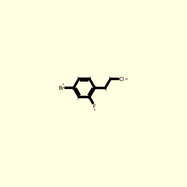 Fc1cc(Br)ccc1CCCl